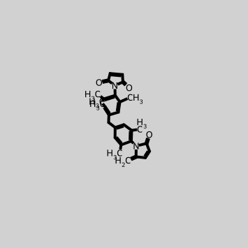 C=C1C=CC(=O)N1c1c(C)cc(CC(=C/C)/C=C(/C)C(=C(C)C)N2C(=O)C=CC2=O)cc1C